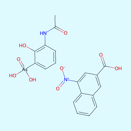 CC(=O)Nc1cccc([As](=O)(O)O)c1O.O=C(O)c1cc([N+](=O)[O-])c2ccccc2c1